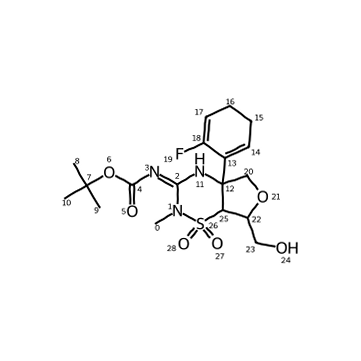 CN1/C(=N\C(=O)OC(C)(C)C)NC2(C3=CCCC=C3F)COC(CO)C2S1(=O)=O